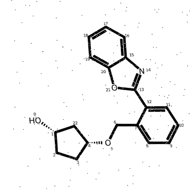 O[C@H]1CC[C@@H](OCc2ccccc2-c2nc3ccccc3o2)C1